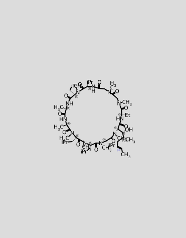 C/C=C/C[C@@H](C)[C@@H](O)[C@H]1C(=O)N[C@@H](CC)C(=O)N(C)CC(=O)N(C)CC(=O)N[C@@H](C(C)C)C(=O)N(C)[C@@H](CC(C)C)C(=O)N[C@@H](C)C(=O)N[C@H](C)C(=O)N(C)[C@@H](CC(C)C)C(=O)N(C)[C@@H](CC(C)C)C(=O)N(C)[C@@H](C(C)C)C(=O)N1C